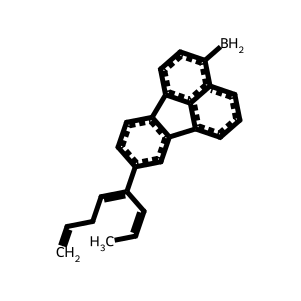 Bc1ccc2c3c(cccc13)-c1cc(C(/C=C\C)=C/CC=C)ccc1-2